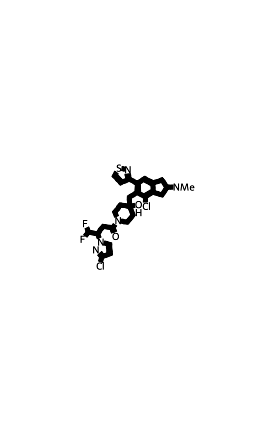 CNC1Cc2cc(-c3ccsn3)c(CC3(O)CCN(C(=O)CC(C(F)F)n4ccc(Cl)n4)CC3)c(Cl)c2C1